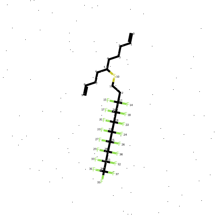 C=CCCCC(CCC=C)SCCC(F)(F)C(F)(F)C(F)(F)C(F)(F)C(F)(F)C(F)(F)C(F)(F)C(F)(F)F